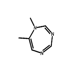 CC1=CN=CN=CN1C